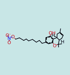 CC1=CC[C@@H]2[C@@H](C1)c1c(O)cc(CCCCCCCCCO[N+](=O)[O-])cc1OC2(C)C